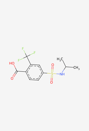 CC(C)NS(=O)(=O)c1ccc(C(=O)O)c(C(F)(F)F)c1